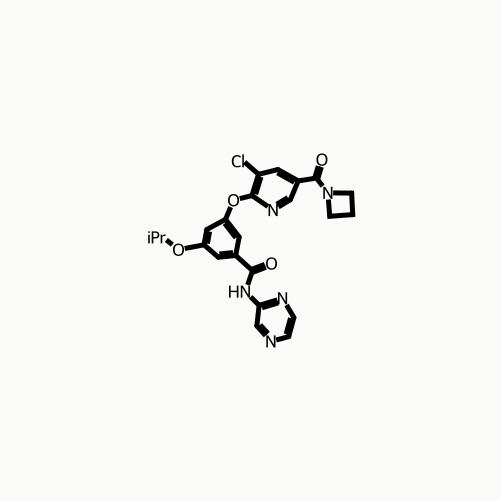 CC(C)Oc1cc(Oc2ncc(C(=O)N3CCC3)cc2Cl)cc(C(=O)Nc2cnccn2)c1